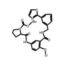 CCOc1ccc(NC(=O)C2CCCN2C(=O)OC(C)(C)C)cc1C(=O)NCc1cccc(-c2nccs2)c1